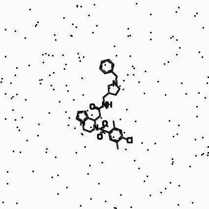 Cc1cc(S(=O)(=O)N2CCn3cccc3C2CC(=O)NCC2CCN(Cc3ccccc3)C2)c(C)cc1Cl